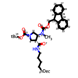 CCCCCCCCCCCCCCNC(=O)[C@@H]1CN(C(=O)OC(C)(C)C)C[C@H]1N(C)C(=O)OCC1c2ccccc2-c2ccccc21